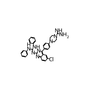 N=C(N)N1CCN(c2ccc(-c3nc(N=C(Nc4ccccc4)Nc4ccccc4)nc4ccc(Cl)cc34)cc2)CC1